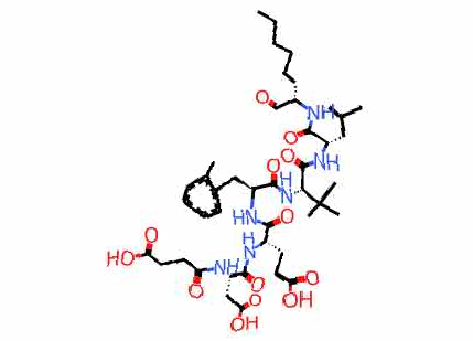 CCCCCC[C@@H](C=O)NC(=O)[C@H](CC(C)C)NC(=O)[C@@H](NC(=O)[C@H](Cc1ccccc1C)NC(=O)[C@H](CCC(=O)O)NC(=O)[C@H](CC(=O)O)NC(=O)CCC(=O)O)C(C)(C)C